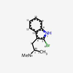 CN[C@H](C)Cc1c(Br)[nH]c2ccccc12